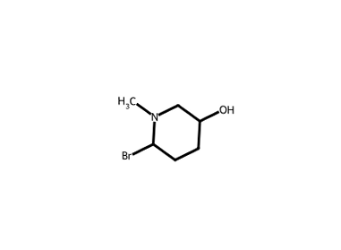 CN1CC(O)CCC1Br